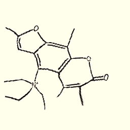 CC[N+](CC)(CC)c1c2cc(C)oc2c(C)c2oc(=O)c(C)c(C)c12